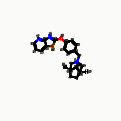 CC(=O)C1[C@@H]2CC[C@H]1CN(Cc1ccc(Oc3nc4ncccc4s3)cc1)C2